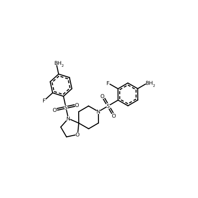 Bc1ccc(S(=O)(=O)N2CCC3(CC2)OCCN3S(=O)(=O)c2ccc(B)cc2F)c(F)c1